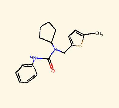 Cc1ccc(CN(C(=O)Nc2ccccc2)C2CCCC2)s1